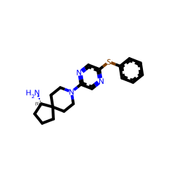 N[C@H]1CCCC12CCN(c1cnc(Sc3ccccc3)cn1)CC2